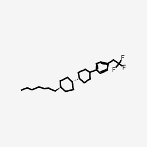 CCCCCCC[C@H]1CC[C@H](C2CCC(c3ccc(CC(F)(F)F)cc3)CC2)CC1